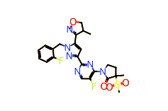 CC1CON=C1c1cc(-c2ncc(F)c(N3CCC(C)(S(C)(=O)=O)C3=O)n2)nn1Cc1ccccc1F